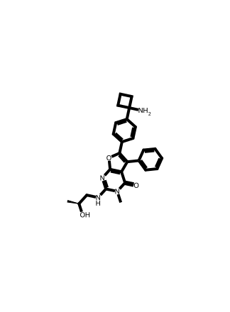 C[C@H](O)CNc1nc2oc(-c3ccc(C4(N)CCC4)cc3)c(-c3ccccc3)c2c(=O)n1C